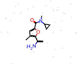 C=C(N)c1oc(C(=O)N(C)C2CC2)cc1C